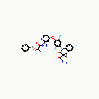 CC(OCc1ccccc1)C(=O)Nc1cc(Oc2cc(F)c(N(C(=O)C3(C(N)=O)CC3)c3ccc(F)cc3)cc2F)ccn1